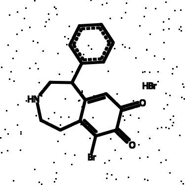 Br.O=C1C=C2C(=C(Br)C1=O)CCNCC2c1ccccc1